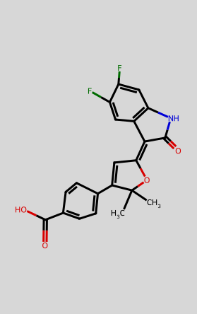 CC1(C)OC(=C2C(=O)Nc3cc(F)c(F)cc32)C=C1c1ccc(C(=O)O)cc1